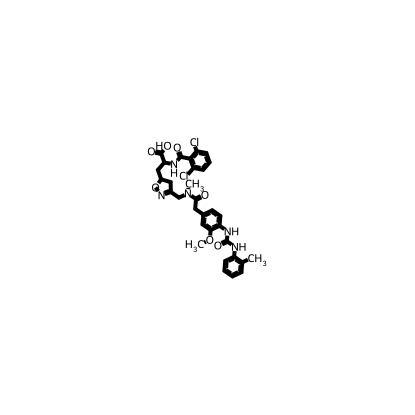 COc1cc(CC(=O)N(C)CC2=NOC(CC(NC(=O)c3c(Cl)cccc3Cl)C(=O)O)C2)ccc1NC(=O)Nc1ccccc1C